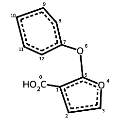 O=C(O)c1ccoc1Oc1ccccc1